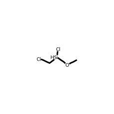 CO[SiH](Cl)CCl